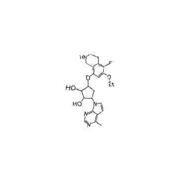 CCOc1cc(OC2CC(n3ccc4c(C)ncnc43)C(O)C2O)c2c(c1F)CCNC2